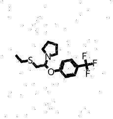 CCSCC(Oc1ccc(C(F)(F)F)cc1)N1CCCC1